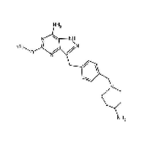 CCCCOc1nc(N)c2[nH]nc(Cc3ccc(CN4CCC(N)CC4)cc3)c2n1